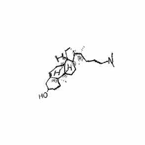 C[C@H](CCCN(C)C)[C@H]1CC[C@H]2[C@@H]3CC=C4CC(O)CC[C@]4(C)[C@H]3CC[C@]12C